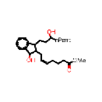 CCCCCC(O)CCC1c2ccccc2C(O)C1C/C=C\CCCC(=O)OC